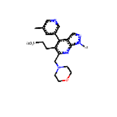 CCOC(=O)CCc1c(CN2CCOCC2)nc2c(cnn2CC)c1-c1cncc(C)c1